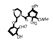 CCCc1cc(OC)c(C=O)c(C(=O)N2CCSCC2COc2cccc(O)c2C=O)c1